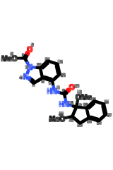 COC(=O)n1ncc2c(NC(=O)NC3(OC)c4ccccc4CC3OC)cccc21